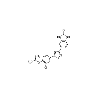 CC(Oc1ccc(-c2nc(-c3ccc4[nH]c(=O)[nH]c4c3)no2)cc1Cl)C(F)(F)F